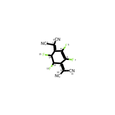 N#CC(C#N)=C1C(F)=C(F)C(=C(C#N)C#N)C(F)C1F